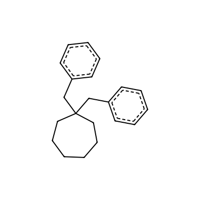 c1ccc(CC2(Cc3ccccc3)CCCCCC2)cc1